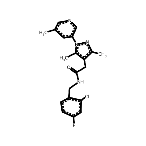 Cc1cncc(-n2nc(C)c(CC(=O)NCc3ccc(F)cc3Cl)c2C)c1